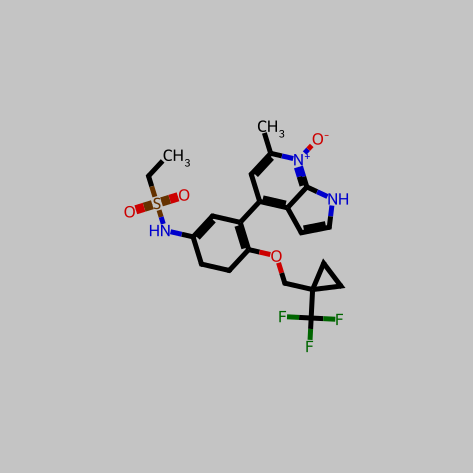 CCS(=O)(=O)NC1=CC(c2cc(C)[n+]([O-])c3[nH]ccc23)=C(OCC2(C(F)(F)F)CC2)CC1